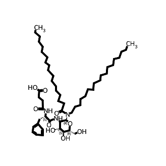 CCCCCCCCCCCCCCCCCCN(C(=O)CCCCCCCCCCCCCCCCC)[C@@H]1O[C@H](CO)[C@@H](O)[C@H](O)[C@@H]1NC(=O)[C@H](Cc1ccccc1)NC(=O)CCC(=O)O